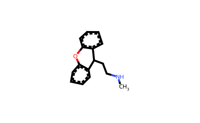 CNCCC1c2ccccc2Oc2ccccc21